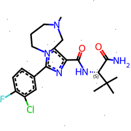 CN1CCCn2c(-c3ccc(F)c(Cl)c3)nc(C(=O)N[C@H](C(N)=O)C(C)(C)C)c2C1